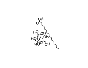 CCCCCCCCCCCCCCCC(=O)O.OCC(O)C(O)C(O)C(O)CO.OCCO